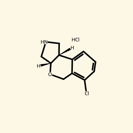 Cl.Clc1cccc2c1CO[C@@H]1CNC[C@H]21